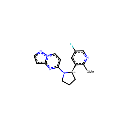 COc1ncc(F)cc1[C@H]1CCCN1c1ccn2nccc2n1